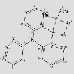 CSC1(SC)OOC12c1ccccc1N(c1ccccc1)c1ccccc12